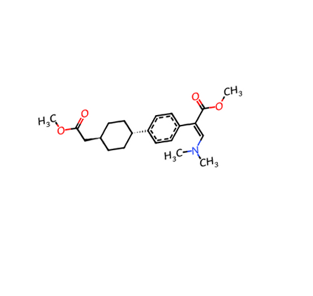 COC(=O)C[C@H]1CC[C@H](c2ccc(/C(=C\N(C)C)C(=O)OC)cc2)CC1